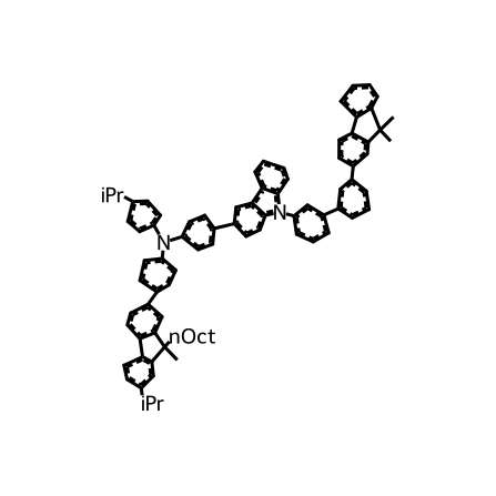 CCCCCCCCC1(C)c2cc(-c3ccc(N(c4ccc(-c5ccc6c(c5)c5ccccc5n6-c5cccc(-c6cccc(-c7ccc8c(c7)C(C)(C)c7ccccc7-8)c6)c5)cc4)c4ccc(C(C)C)cc4)cc3)ccc2-c2ccc(C(C)C)cc21